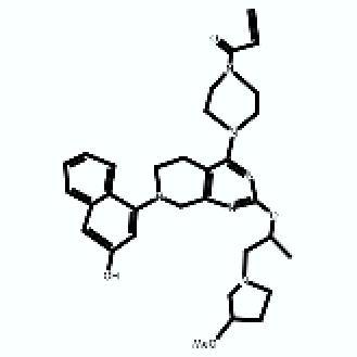 C=CC(=O)N1CCN(c2nc(OC(C)CN3CCC(OC)C3)nc3c2CCN(c2cc(O)cc4ccccc24)C3)CC1